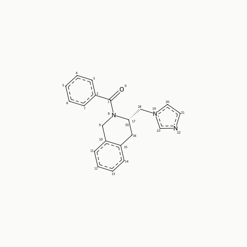 O=C(c1ccccc1)N1Cc2ccccc2C[C@H]1Cn1ccnc1